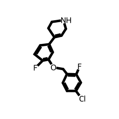 Fc1cc(Cl)ccc1COc1cc(C2=CCNCC2)ccc1F